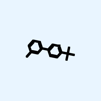 Cc1cccc(-c2ccc(C(C)(C)C)nc2)c1